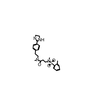 Cc1ccccc1S(=O)(=O)N(C)CCC(=O)N(C)CCc1ccc(C2=NCCN2)cc1